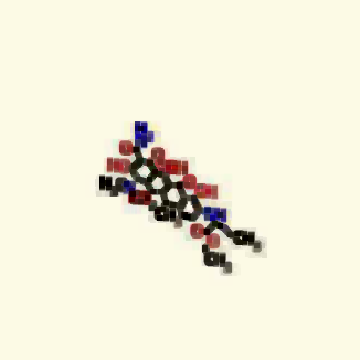 CCCC(Nc1ccc2c(c1O)C(=O)C1=C(O)[C@]3(O)C(=O)C(C(N)=O)=C(O)[C@@H](N(C)C)C3C(O)C1C2C)C(=O)OCC